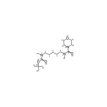 CN(CCCCCN(C)C(=O)N1CCOCC1)C(=O)OC(C)(C)C